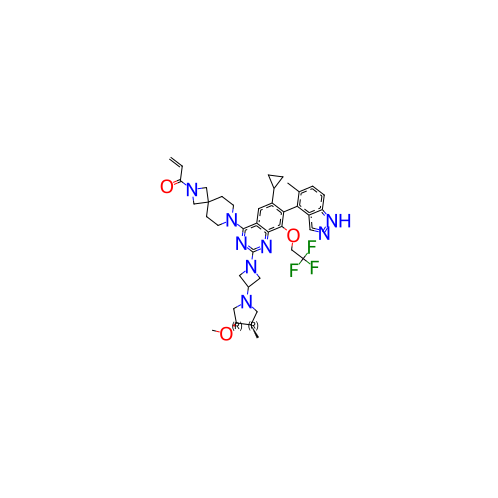 C=CC(=O)N1CC2(CCN(c3nc(N4CC(N5C[C@@H](C)[C@@H](OC)C5)C4)nc4c(OCC(F)(F)F)c(-c5c(C)ccc6[nH]ncc56)c(C5CC5)cc34)CC2)C1